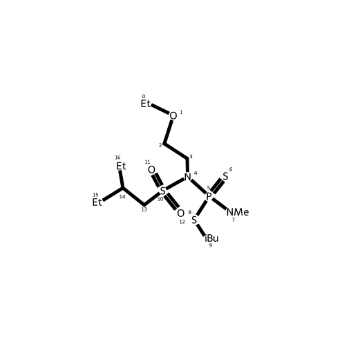 CCOCCN(P(=S)(NC)SC(C)CC)S(=O)(=O)CC(CC)CC